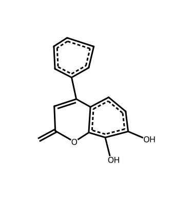 C=C1C=C(c2ccccc2)c2ccc(O)c(O)c2O1